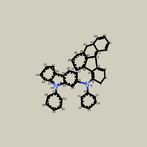 C1=CC2=C3C4=CCCC(N(c5ccccc5)c5ccc6c7ccccc7n(-c7ccccc7)c6c5)=C4c4cccc(c43)CC2C=C1